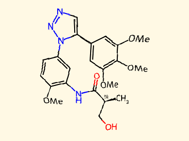 COc1ccc(-n2nncc2-c2cc(OC)c(OC)c(OC)c2)cc1NC(=O)[C@@H](C)CO